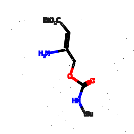 CCOC(=O)/C=C(\N)COC(=O)NC(C)(C)C